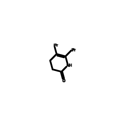 CC(C)C1=C(C(C)C)NC(=O)CC1